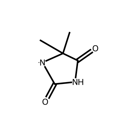 CC1(C)[N]C(=O)NC1=O